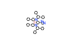 c1ccc(-c2cc(-c3ccccc3)cc(N3c4ccc(-c5ccccc5)cc4B4c5cc(-c6ccccc6)ccc5N(c5cc(-c6ccccc6)cc(-c6ccccc6)c5)c5cc(-c6ccncn6)cc3c54)c2)cc1